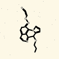 CCCOC1c2nccc3c2=C(C(=NOC=C=O)CC=3)n2cccc21